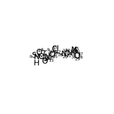 CSNC(=O)OC(C(C)C)N1C(=O)Cc2cc(CCN3CCN(c4nsc5ccccc45)CC3)c(Cl)cc21